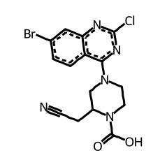 N#CCC1CN(c2nc(Cl)nc3cc(Br)ccc23)CCN1C(=O)O